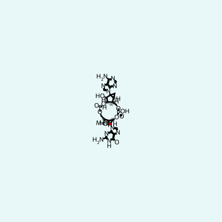 CO[C@H]1[C@H]2OP(=O)(O)OC[C@@H]3[C@@H](O[PH](=O)OC[C@H]1O[C@H]2n1cnc2c(=O)[nH]c(N)nc21)[C@@H](O)C1(n2cnc4c(N)ncnc42)C[C@@H]31